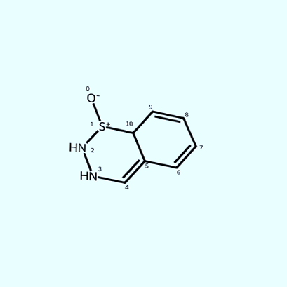 [O-][S+]1NNC=C2C=CC=CC21